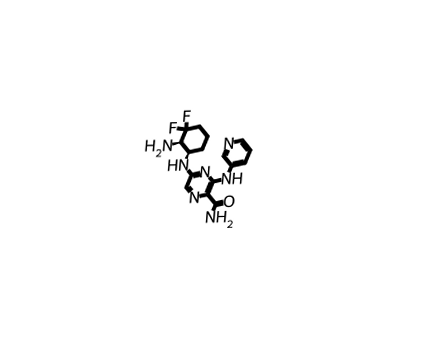 NC(=O)c1ncc(N[C@@H]2CCCC(F)(F)[C@@H]2N)nc1Nc1cccnc1